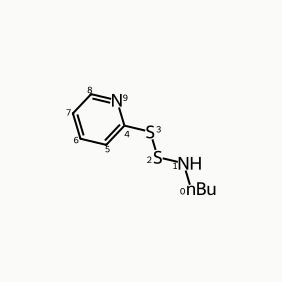 CCCCNSSc1ccccn1